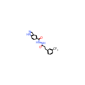 O=C(CCc1cccc(C(F)(F)F)c1)NNC(=O)c1ccc2[nH]ncc2c1